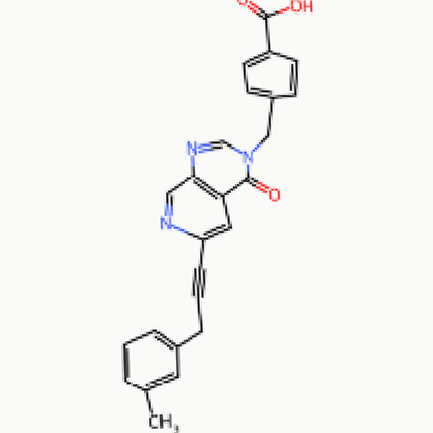 Cc1cccc(CC#Cc2cc3c(=O)n(Cc4ccc(C(=O)O)cc4)cnc3cn2)c1